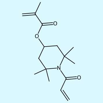 C=CC(=O)N1C(C)(C)CC(OC(=O)C(=C)C)CC1(C)C